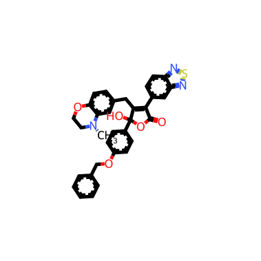 CN1CCOc2ccc(CC3=C(c4ccc5nsnc5c4)C(=O)OC3(O)c3ccc(OCc4ccccc4)cc3)cc21